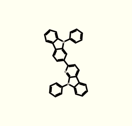 c1ccc(-n2c3ccccc3c3ccc(-c4ccc5c6ccccc6n(-c6ccccc6)c5n4)cc32)cc1